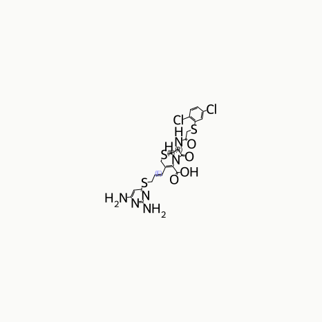 Nc1cc(SC/C=C/C2=C(C(=O)O)N3C(=O)[C@@H](NC(=O)CSc4cc(Cl)ccc4Cl)[C@H]3SC2)nc(N)n1